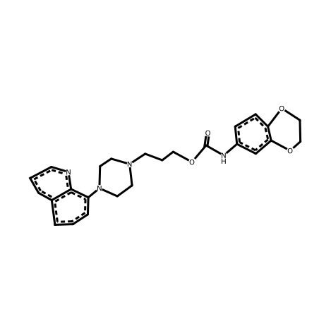 O=C(Nc1ccc2c(c1)OCCO2)OCCCN1CCN(c2cccc3cccnc23)CC1